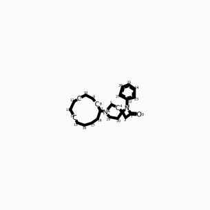 O=C1CC2(CCN(C3CCCCCCCCCCC3)CC2)N1c1ccccc1